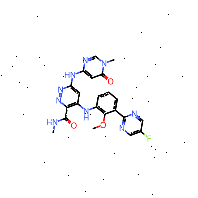 CNC(=O)c1nnc(Nc2cc(=O)n(C)cn2)cc1Nc1cccc(-c2ncc(F)cn2)c1OC